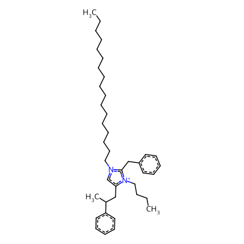 CCCCCCCCCCCCCCCCCn1cc(CC(C)c2ccccc2)[n+](CCCC)c1Cc1ccccc1